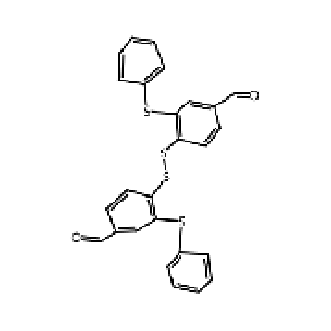 O=Cc1ccc(SSc2ccc(C=O)cc2Sc2ccccc2)c(Sc2ccccc2)c1